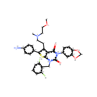 COCCN(C)CCc1c(-c2ccc(N)cc2)sc2c1c(=O)n(-c1ccc3c(c1)OCO3)c(=O)n2Cc1c(F)cccc1F